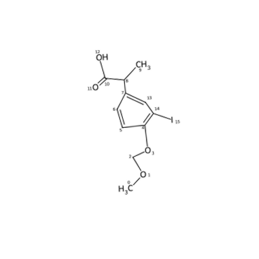 COCOc1ccc(C(C)C(=O)O)cc1I